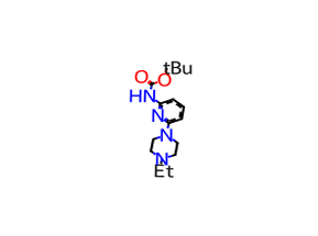 CCN1CCN(c2cccc(NC(=O)OC(C)(C)C)n2)CC1